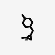 C[C@@H]1CC1CC1CCN(C)CC1